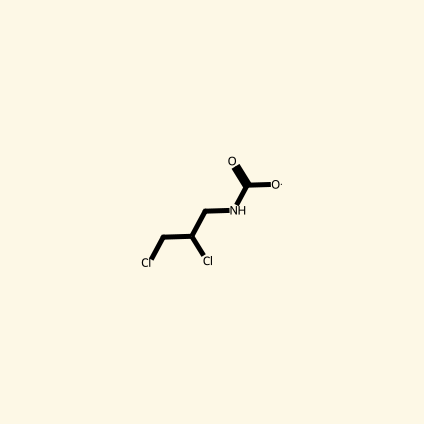 [O]C(=O)NCC(Cl)CCl